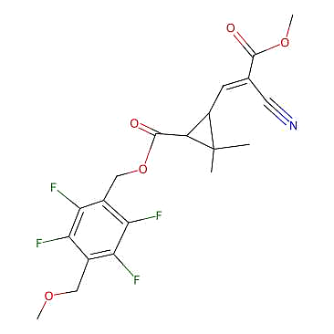 COCc1c(F)c(F)c(COC(=O)C2C(/C=C(\C#N)C(=O)OC)C2(C)C)c(F)c1F